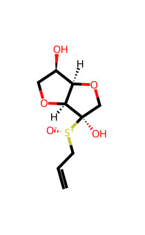 C=CC[S@+]([O-])[C@]1(O)CO[C@@H]2[C@H](O)CO[C@@H]21